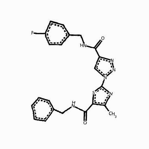 Cc1nc(-n2cc(C(=O)NCc3ccc(F)cc3)nn2)sc1C(=O)NCc1ccccc1